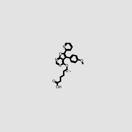 COc1ccc(-c2c(-c3ccccn3)oc3ncnc(O[C@H](C)CCCCC(=O)O)c23)cc1